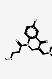 COCCC(=O)N1C/C(=C/N(C)C)C(=O)c2cc(Cl)ccc21